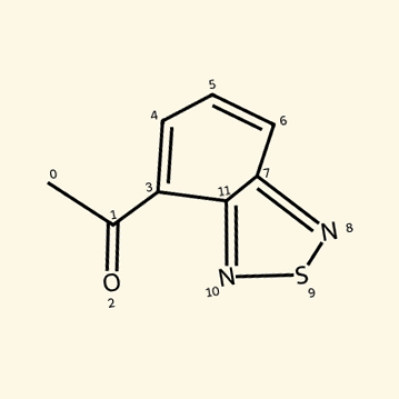 CC(=O)c1cccc2nsnc12